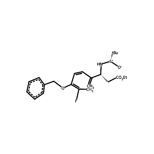 C=C(/C=C\C(OCc1ccccc1)=C(/C)F)[C@@H](CC(=O)OCC)N[S@@+]([O-])C(C)(C)C